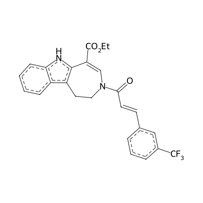 CCOC(=O)C1=CN(C(=O)C=Cc2cccc(C(F)(F)F)c2)CCc2c1[nH]c1ccccc21